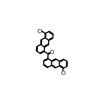 O=C(c1cccc2cc3c(Cl)cccc3cc12)c1cccc2cc3c(Cl)cccc3cc12